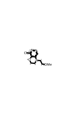 COCCN1CCOc2c1cnnc2Cl